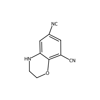 [C-]#[N+]c1cc(C#N)c2c(c1)NCCO2